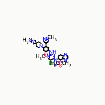 COc1cc(N2CCC3(CC2)CN(C)C3)c(-c2cnn(C)c2)cc1Nc1ncc(Br)c(Nc2ccc3nccnc3c2P(C)(C)=O)n1